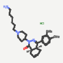 COc1ccc(C2=NN(C3CCN(CCCCCCN)CC3)C(=O)[C@@H]3CC=CC[C@H]23)cc1OC.Cl